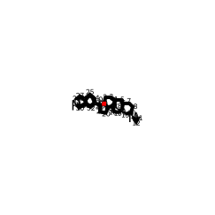 C[C@]12CC=C3C=C4CC[C@H](N5CC5)C[C@]45CCC3(O5)[C@@H]1CCC2c1ccc2ccncc2c1